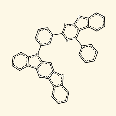 c1ccc(-c2nc(-c3cccc(-n4c5ccccc5c5cc6c(cc54)oc4ccccc46)c3)nc3sc4ccccc4c23)cc1